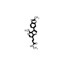 CNC(=O)C=Cc1cnc(N)c2c(-c3ccc4nc(C)sc4c3)csc12